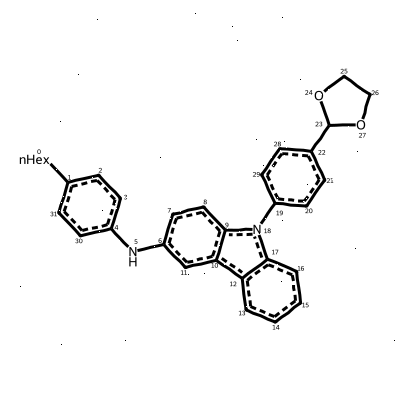 CCCCCCc1ccc(Nc2ccc3c(c2)c2ccccc2n3-c2ccc(C3OCCO3)cc2)cc1